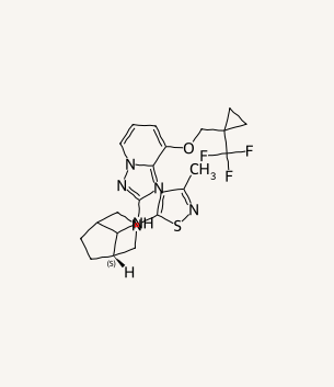 Cc1cc(N2CC3CC[C@@H](C2)C3Nc2nc3c(OCC4(C(F)(F)F)CC4)cccn3n2)sn1